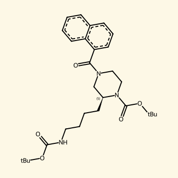 CC(C)(C)OC(=O)NCCCC[C@H]1CN(C(=O)c2cccc3ccccc23)CCN1C(=O)OC(C)(C)C